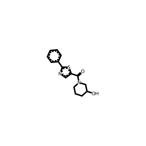 O=C(c1cnc(-c2ccccc2)s1)N1CCCC(O)C1